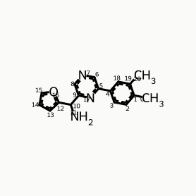 Cc1ccc(-c2cncc(C(N)c3ccco3)n2)cc1C